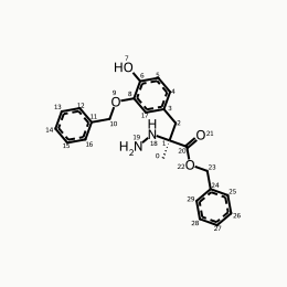 C[C@@](Cc1ccc(O)c(OCc2ccccc2)c1)(NN)C(=O)OCc1ccccc1